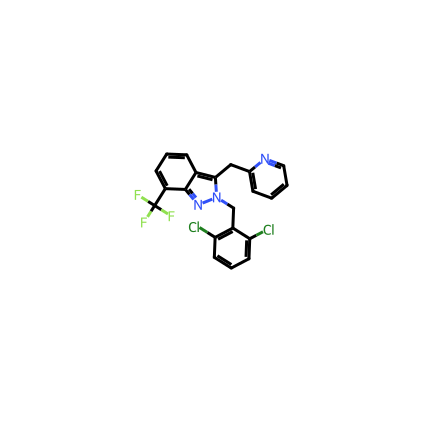 FC(F)(F)c1cccc2c(Cc3ccccn3)n(Cc3c(Cl)cccc3Cl)nc12